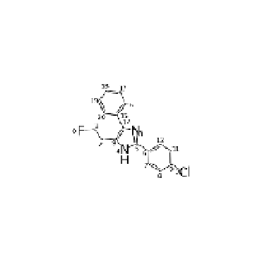 FCCc1[nH]c(-c2ccc(Cl)cc2)nc1-c1ccccc1